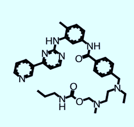 CCCNC(=O)OCN(C)CCN(CC)Cc1ccc(C(=O)Nc2ccc(C)c(Nc3nccc(-c4cccnc4)n3)c2)cc1